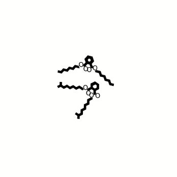 CC(C)CCCCCCCOC(=O)C1C=CCCC1C(=O)OCCCCCCCC(C)C.CCCCCCCCOC(=O)c1ccccc1C(=O)OCCCCCCCC